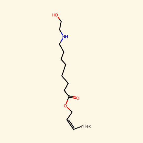 CCCCCC/C=C\COC(=O)CCCCCCCNCCO